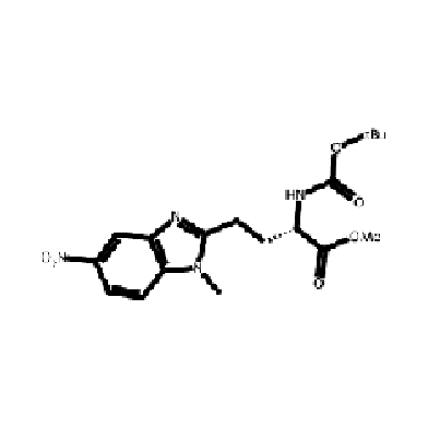 COC(=O)[C@H](CCc1nc2cc([N+](=O)[O-])ccc2n1C)NC(=O)OC(C)(C)C